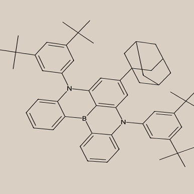 CC(C)(C)c1cc(N2c3ccccc3B3c4ccccc4N(c4cc(C(C)(C)C)cc(C(C)(C)C)c4)c4cc(C56CC7CC(CC(C7)C5)C6)cc2c43)cc(C(C)(C)C)c1